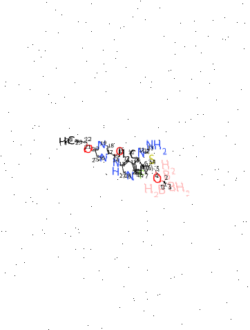 BC(B)(B)OC[C@]12C[C@H]1[C@@](C)(c1cc(NC(=O)c3cnc(OCC#C)cn3)cnc1F)N=C(N)S2